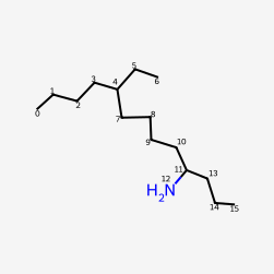 CCCCC(CC)CCCCC(N)CCC